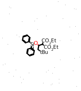 CCOC(=O)C(C(=O)OCC)C(CC(C)(C)C)O[SiH](c1ccccc1)c1ccccc1